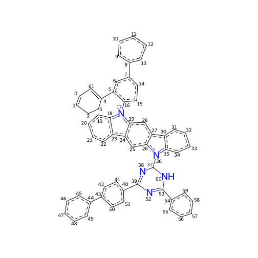 C1=CCCC(c2cc(-c3ccccc3)ccc2-n2c3ccccc3c3cc4c(cc32)c2ccccc2n4C2N=C(c3ccc(-c4ccccc4)cc3)N=C(c3ccccc3)N2)=C1